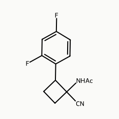 CC(=O)NC1(C#N)CCC1c1ccc(F)cc1F